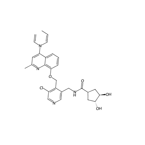 C=CN(/C=C\C)c1cc(C)nc2c(OCc3c(Cl)cncc3CNC(=O)C3C[C@@H](O)[C@H](O)C3)cccc12